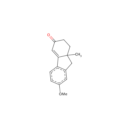 COc1ccc2c(c1)CC1(C)CCC(=O)C=C21